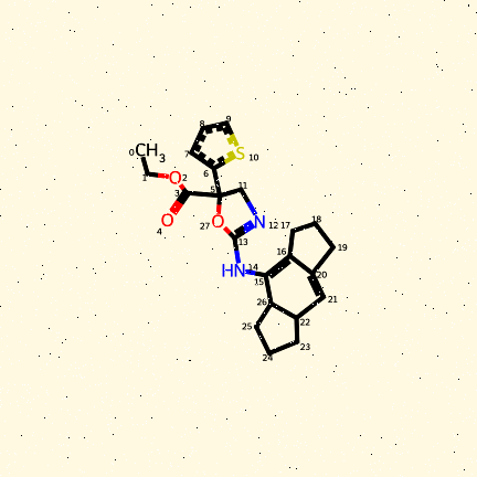 CCOC(=O)C1(c2cccs2)CN=C(NC2=C3CCCC3=CC3CCCC23)O1